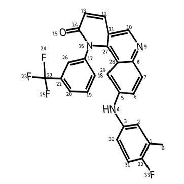 Cc1cc(Nc2ccc3ncc4ccc(=O)n(-c5cccc(C(F)(F)F)c5)c4c3c2)ccc1F